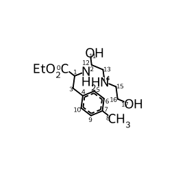 CCOC(=O)C(N)Cc1ccc(C)cc1.OCCNCCO